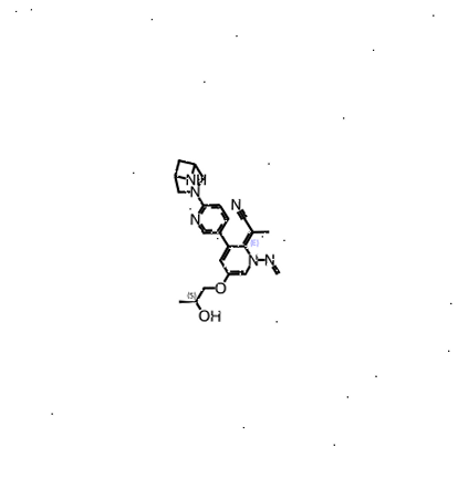 C=NN1C=C(OC[C@H](C)O)C=C(c2ccc(N3CC4CC(C3)N4)nc2)/C1=C(/C)C#N